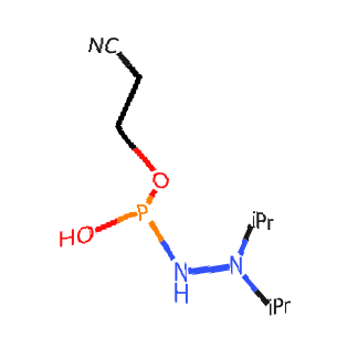 CC(C)N(NP(O)OCCC#N)C(C)C